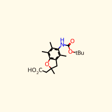 Cc1c(C)c2c(c(C)c1NC(=O)OC(C)(C)C)CC(C)(CC(=O)O)O2